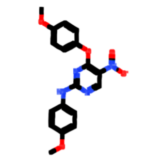 COc1ccc(Nc2ncc([N+](=O)[O-])c(Oc3ccc(OC)cc3)n2)cc1